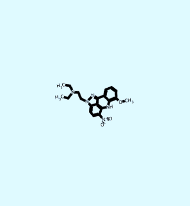 CCN(CC)CCn1nc2c3c(c([N+](=O)[O-])ccc31)Nc1c(OC)cccc1-2